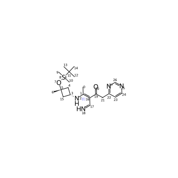 C/C(N[C@H]1C[C@@](C)(O[Si](C)(C)C(C)(C)C)C1)=C(/C=N)C(=O)Cc1ccncn1